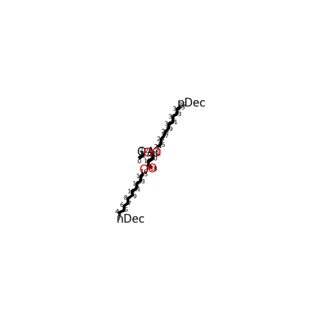 C=COC(C)=O.CCCCCCCCCCCCCCCCCCCCCCOC(=O)/C=C/C(=O)OCCCCCCCCCCCCCCCCCCCCCC